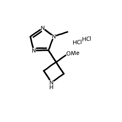 COC1(c2ncnn2C)CNC1.Cl.Cl